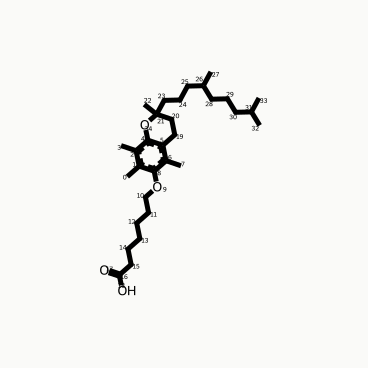 Cc1c(C)c2c(c(C)c1OCCCCCCC(=O)O)CCC(C)(CCCC(C)CCCC(C)C)O2